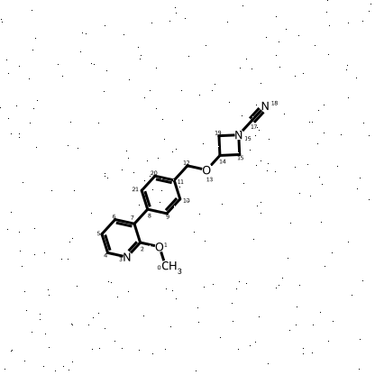 COc1ncccc1-c1ccc(COC2CN(C#N)C2)cc1